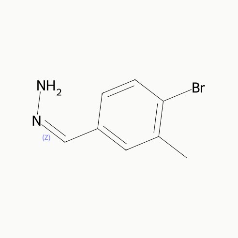 Cc1cc(/C=N\N)ccc1Br